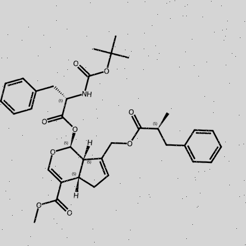 COC(=O)C1=CO[C@@H](OC(=O)[C@H](Cc2ccccc2)NC(=O)OC(C)(C)C)[C@@H]2C(COC(=O)[C@@H](C)Cc3ccccc3)=CC[C@H]12